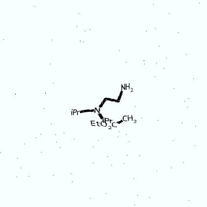 CC(C)N(CCN)C(C)C.CCOC(C)=O